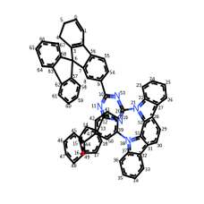 C1=CC2=C(CC1)C1(c3cc(-c4nc(-c5ccccc5)nc(-n5c6ccccc6c6ccc7c8ccccc8n(-c8cccc(-c9ccccc9)c8)c7c65)n4)ccc32)c2ccccc2-c2ccccc21